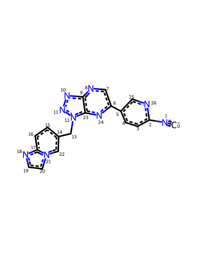 [C-]#[N+]c1ccc(-c2cnc3nnn(Cc4ccc5nccn5c4)c3n2)cn1